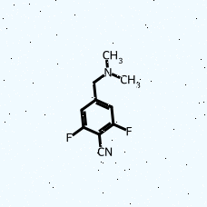 CN(C)Cc1cc(F)c(C#N)c(F)c1